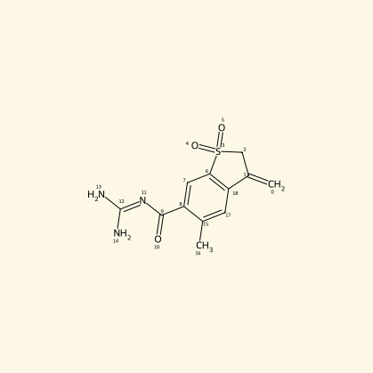 C=C1CS(=O)(=O)c2cc(C(=O)N=C(N)N)c(C)cc21